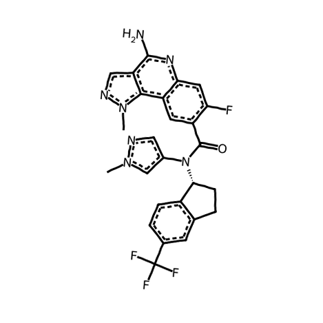 Cn1cc(N(C(=O)c2cc3c(cc2F)nc(N)c2cnn(C)c23)[C@@H]2CCc3cc(C(F)(F)F)ccc32)cn1